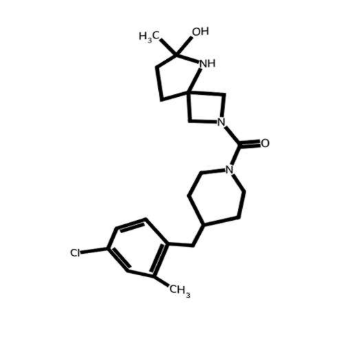 Cc1cc(Cl)ccc1CC1CCN(C(=O)N2CC3(CCC(C)(O)N3)C2)CC1